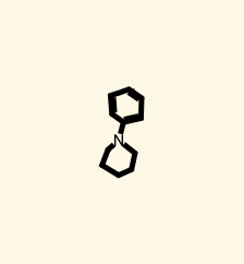 [c]1ccc(N2CCCCC2)cc1